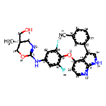 C[C@]1(CO)CN=C(Nc2cc(F)c(Oc3ccnc4[nH]cc(-c5cccc(C#N)c5)c34)c(F)c2)OC1